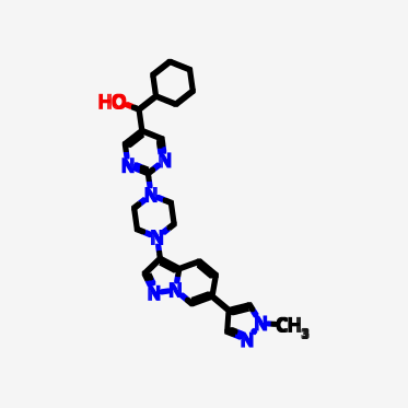 Cn1cc(-c2ccc3c(N4CCN(c5ncc(C(O)C6CCCCC6)cn5)CC4)cnn3c2)cn1